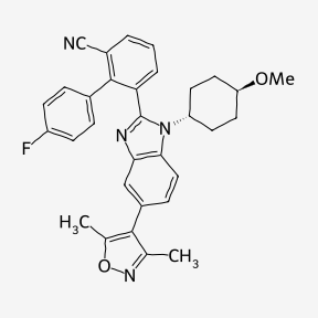 CO[C@H]1CC[C@H](n2c(-c3cccc(C#N)c3-c3ccc(F)cc3)nc3cc(-c4c(C)noc4C)ccc32)CC1